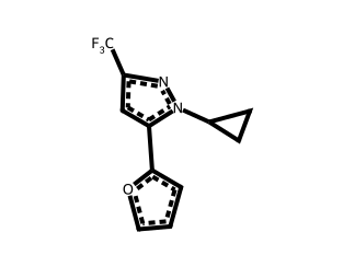 FC(F)(F)c1cc(-c2ccco2)n(C2CC2)n1